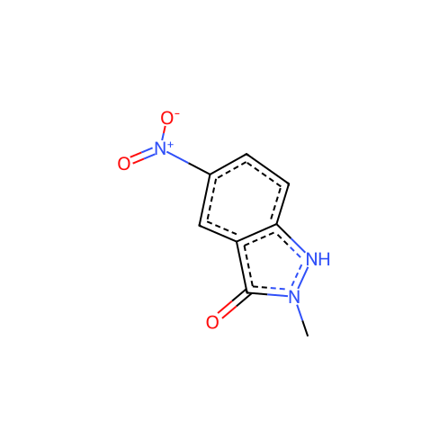 Cn1[nH]c2ccc([N+](=O)[O-])cc2c1=O